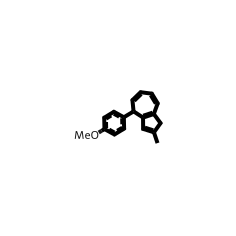 COc1ccc(C2C=CC=CC3=C2C=C(C)C3)cc1